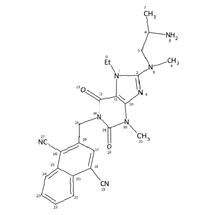 CCn1c(N(C)CC(C)N)nc2c1c(=O)n(Cc1cc(C#N)c3ccccc3c1C#N)c(=O)n2C